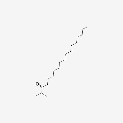 [CH2]C(C)C(=O)CCCCCCCCCCCCCCC